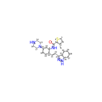 Cc1ccsc1C(=O)Nc1cc(N2CCNCC2)ccc1C=Cc1n[nH]c2ccccc12